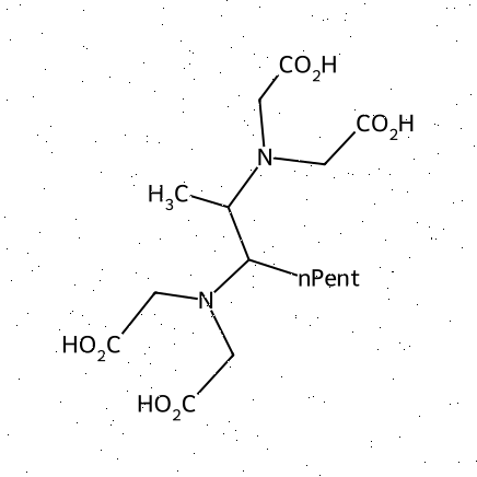 CCCCCC(C(C)N(CC(=O)O)CC(=O)O)N(CC(=O)O)CC(=O)O